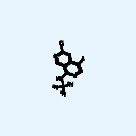 [2H]C([2H])([2H])Nc1ncc(I)c2cc(Cl)ncc12